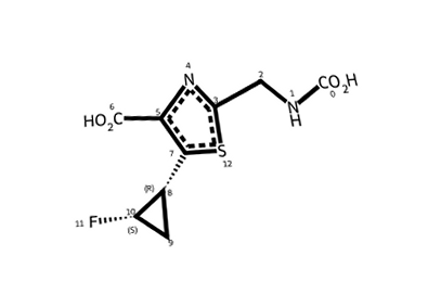 O=C(O)NCc1nc(C(=O)O)c([C@@H]2C[C@@H]2F)s1